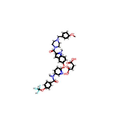 COc1ccc(CN2CCN(C(=O)c3cc4cc(Oc5ccc(N(C)C(=O)c6ccc(OC(F)(F)F)cc6)cn5)ccc4n3C)CC2)cc1.O=C(O)/C=C\C(=O)O